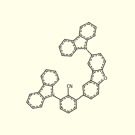 N#Cc1c(-c2ccc3oc4ccc(-n5c6ccccc6c6ccccc65)cc4c3c2)cccc1-n1c2ccccc2c2ccccc21